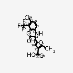 Cc1oc(C(Nc2ccc(Cl)c(C(F)(F)F)c2)C(=O)O)cc1C(=O)O